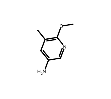 COc1ncc(N)cc1C